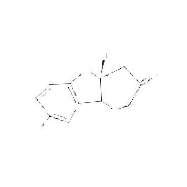 O=C1CC[C@H]2c3cc(O)ccc3O[C@@H]2C1